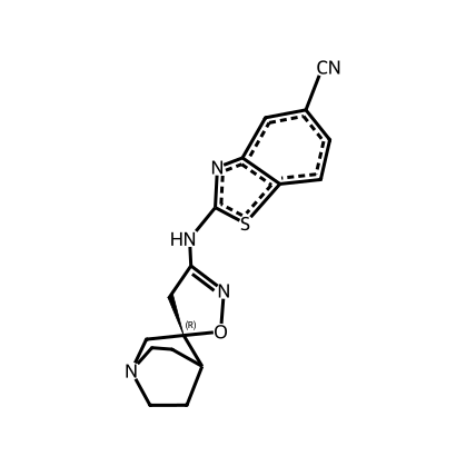 N#Cc1ccc2sc(NC3=NO[C@@]4(C3)CN3CCC4CC3)nc2c1